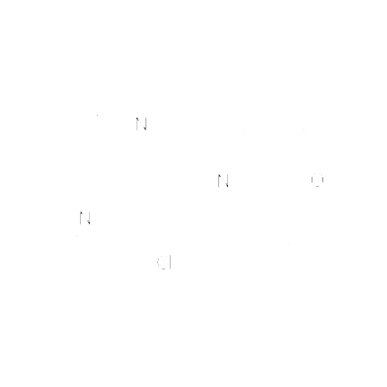 Clc1nccnc1N1CCOCC1